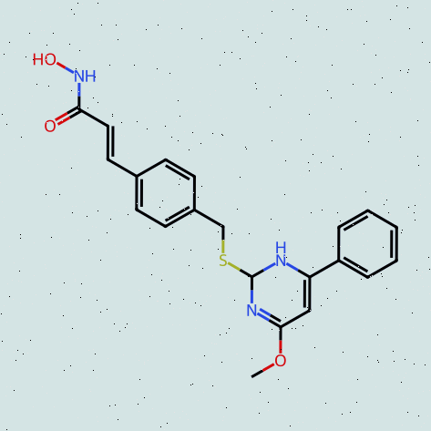 COC1=NC(SCc2ccc(/C=C/C(=O)NO)cc2)NC(c2ccccc2)=C1